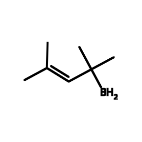 BC(C)(C)C=C(C)C